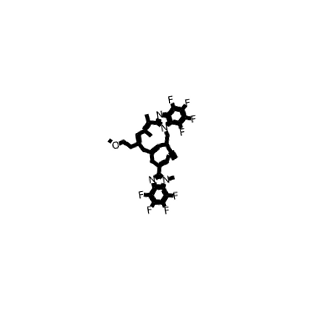 C#CC1/C=C(\C/C(=C\C)c2nc3c(F)c(F)c(F)c(F)c3n2C)C/C(CCOC)=C\C(C)=C(/C)c2nc3c(F)c(F)c(F)c(F)c3n2C1